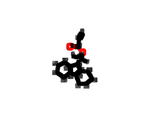 C#CC(=O)[O][Ti]([CH3])([CH3])[CH]1C2=C(CCCC2)C2=C1CCCC2